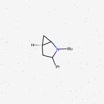 CC(C)C1C[C@H]2CC2N1C(C)(C)C